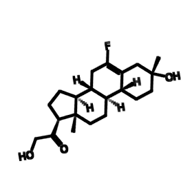 C[C@@]1(O)CC[C@H]2C(=C(F)C[C@@H]3[C@@H]2CC[C@]2(C)[C@@H](C(=O)CO)CC[C@@H]32)C1